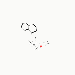 O=S(=O)(NS(=O)(=O)C(F)(F)C(F)(F)C(F)(F)S(=O)(=O)Oc1cccc2ccccc12)C(F)(F)F